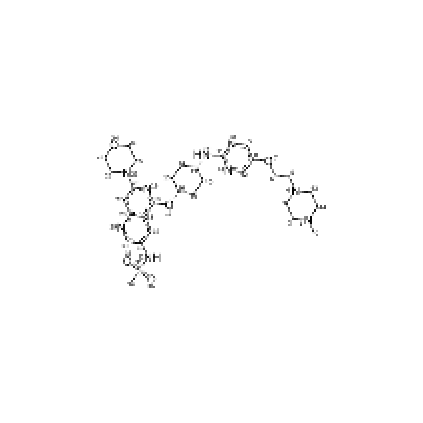 CN1CCN(CCOc2cnc(N[C@H]3CC[C@@H](Oc4nc(N5CCOCC5)cc5ncc(NS(C)(=O)=O)cc45)CC3)nc2)CC1